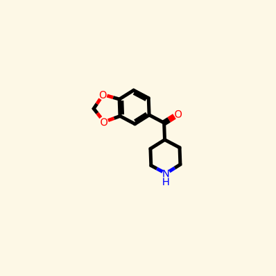 O=C(c1ccc2c(c1)OCO2)C1CCNCC1